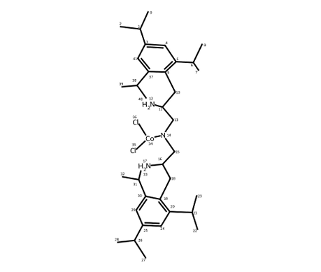 CC(C)c1cc(C(C)C)c(CC(N)C[N](CC(N)Cc2c(C(C)C)cc(C(C)C)cc2C(C)C)[Co]([Cl])[Cl])c(C(C)C)c1